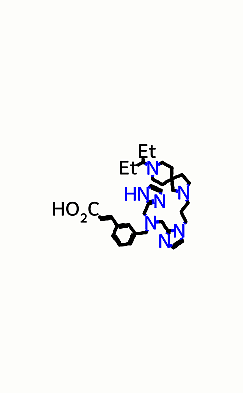 CCC(CC)N1CCC2(CCN(CCCn3ccnc3CN(Cc3cccc(/C=C/C(=O)O)c3)Cc3ncc[nH]3)C2)CC1